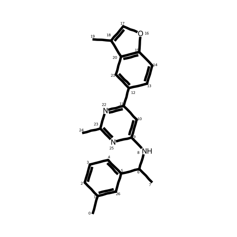 Cc1cccc(C(C)Nc2cc(-c3ccc4occ(C)c4c3)nc(C)n2)c1